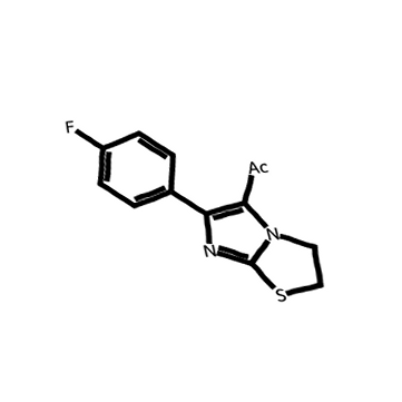 CC(=O)c1c(-c2ccc(F)cc2)nc2n1CCS2